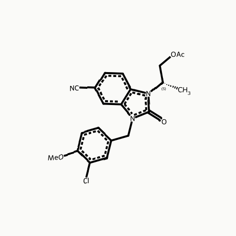 COc1ccc(Cn2c(=O)n([C@@H](C)COC(C)=O)c3ccc(C#N)cc32)cc1Cl